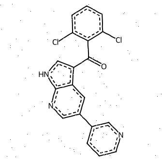 O=C(c1c(Cl)cccc1Cl)c1c[nH]c2ncc(-c3cccnc3)cc12